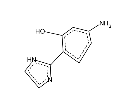 Nc1ccc(-c2ncc[nH]2)c(O)c1